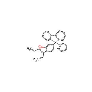 C=Cc1oc2cc3c(cc2c1C=C)-c1ccccc1C31c2ccccc2-c2ccccc21